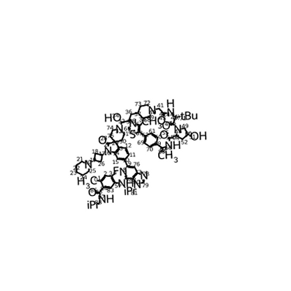 Cc1cc(F)c(Nc2nc(-c3ccc4c(c3)N([C@H]3C[C@@H](N5CCCCC5)C3)C(=O)C43CCN(C(O)CCC4CCN(CC(=O)N[C@H](C(=O)N5C[C@H](O)C[C@H]5C(=O)N[C@@H](C)c5ccc(-c6scnc6C)cc5)C(C)(C)C)CC4)CC3)cc3ncn(C(C)C)c23)cc1C(=O)NC(C)C